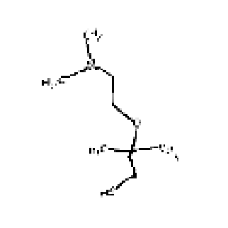 CN(C)CCOC(C)(C)CS